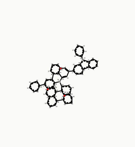 C1=C(c2ccc3c4ccccc4n(-c4ccccc4)c3c2)C=C(N(c2ccc(-c3ccccc3)cc2-c2ccccc2)c2ccccc2-c2cccc3cccc(-c4ccccc4)c23)CC1